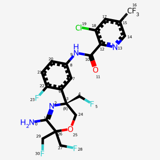 NC1=N[C@](CF)(c2cc(NC(=O)c3ncc(C(F)(F)F)cc3Cl)ccc2F)COC1(CF)CF